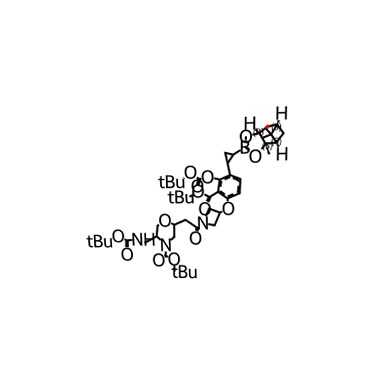 CC(C)(C)OC(=O)NCC1COC(CC(=O)N2CC(Oc3ccc(C4CC4B4O[C@@H]5C[C@@H]6C[C@@H](C6(C)C)[C@]5(C)O4)c(OC(=O)OC(C)(C)C)c3C(=O)OC(C)(C)C)C2)CN1C(=O)OC(C)(C)C